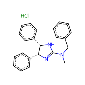 CN(Cc1ccccc1)C1=N[C@H](c2ccccc2)[C@H](c2ccccc2)N1.Cl